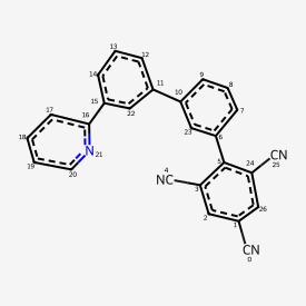 N#Cc1cc(C#N)c(-c2cccc(-c3cccc(-c4ccccn4)c3)c2)c(C#N)c1